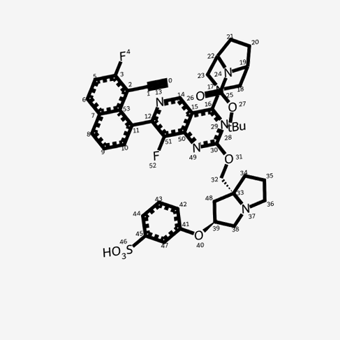 C#Cc1c(F)ccc2cccc(-c3ncc4c(N5CC6CCC(C5)N6C(=O)OC(C)(C)C)nc(OC[C@]56CCCN5C[C@@H](Oc5cccc(S(=O)(=O)O)c5)C6)nc4c3F)c12